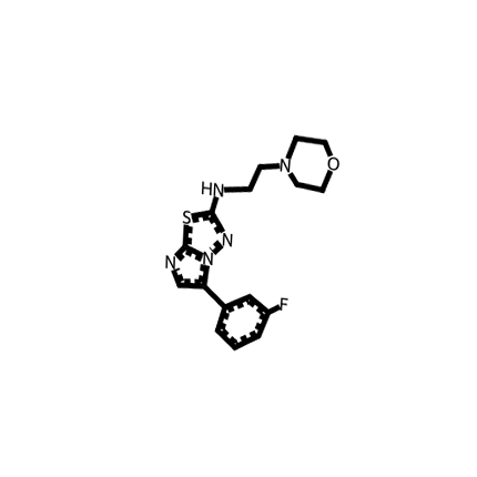 Fc1cccc(-c2cnc3sc(NCCN4CCOCC4)nn23)c1